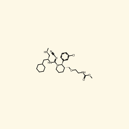 CNC[C@H](CC1CCCCC1)NC(=NC#N)N1CCC[C@@H](COCCNC(=O)OC)[C@@H]1c1cccc(Cl)c1